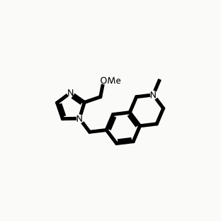 COCc1nccn1Cc1ccc2c(c1)CN(C)CC2